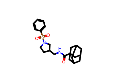 O=C(NCC1CCN(S(=O)(=O)c2ccccc2)C1)C12CC3CC(CC(C3)C1)C2